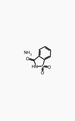 N.O=C1NS(=O)(=O)c2ccccc21